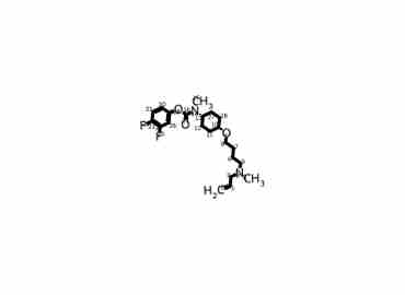 C=CCN(C)CCCCO[C@H]1CC[C@H](N(C)C(=O)Oc2ccc(F)c(F)c2)CC1